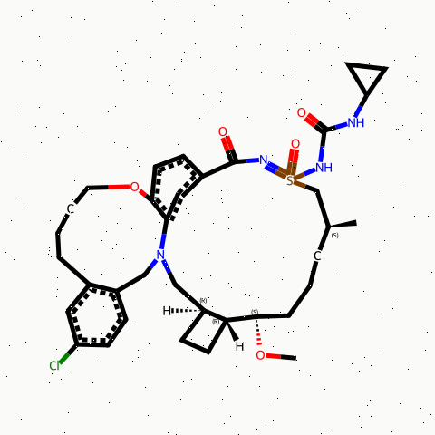 CO[C@H]1CCC[C@H](C)CS(=O)(NC(=O)NC2CC2)=NC(=O)c2ccc3c(c2)N(Cc2ccc(Cl)cc2CCCCO3)C[C@@H]2CC[C@H]21